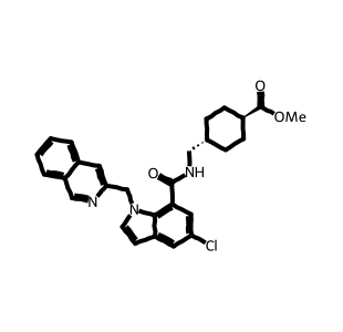 COC(=O)[C@H]1CC[C@H](CNC(=O)c2cc(Cl)cc3ccn(Cc4cc5ccccc5cn4)c23)CC1